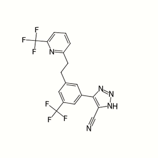 N#Cc1[nH]nnc1-c1cc(CCc2cccc(C(F)(F)F)n2)cc(C(F)(F)F)c1